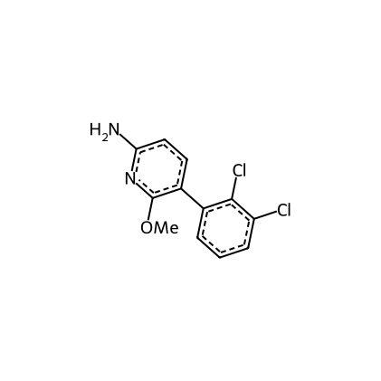 COc1nc(N)ccc1-c1cccc(Cl)c1Cl